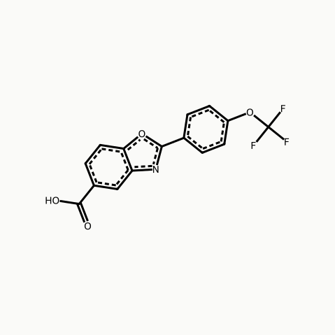 O=C(O)c1ccc2oc(-c3ccc(OC(F)(F)F)cc3)nc2c1